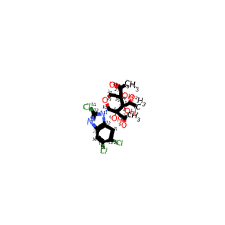 CC(=O)[C@@]1(O)[C@@](O)(C(C)=O)[C@H](n2c(Cl)nc3cc(Cl)c(Cl)cc32)OC[C@]1(O)C(C)=O